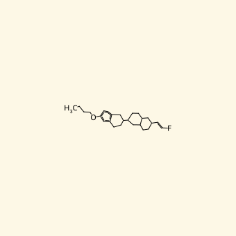 CCCCOc1ccc2c(c1)CCC(C1CCC3CC(C=CF)CCC3C1)C2